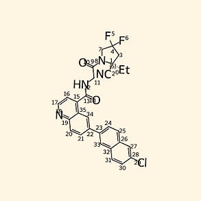 CC[C@@]1(C#N)CC(F)(F)CN1C(=O)CNC(=O)c1ccnc2ccc(-c3ccc4cc(Cl)ccc4c3)cc12